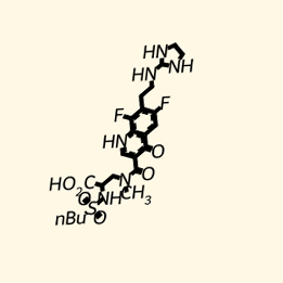 CCCCS(=O)(=O)NC(CN(C)C(=O)c1c[nH]c2c(F)c(CCNC3NCCN3)c(F)cc2c1=O)C(=O)O